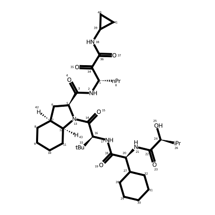 CCC[C@H](NC(=O)[C@@H]1C[C@@H]2CCCC[C@@H]2N1C(=O)[C@@H](NC(=O)[C@@H](NC(=O)[C@@H](O)C(C)C)C1CCCCC1)C(C)(C)C)C(=O)C(=O)NC1CC1